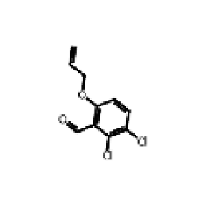 C=CCOc1ccc(Cl)c(Cl)c1C=O